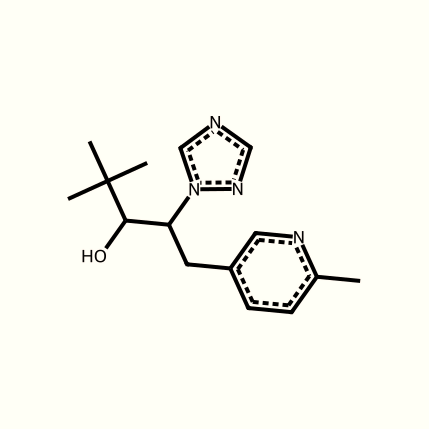 Cc1ccc(CC(C(O)C(C)(C)C)n2cncn2)cn1